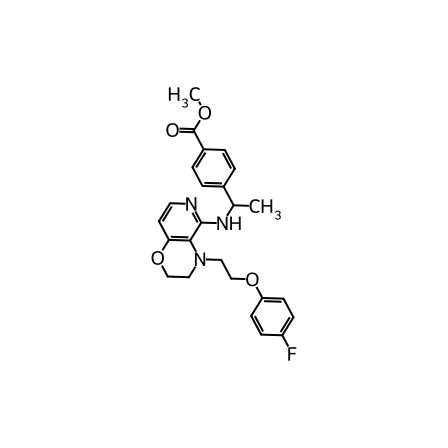 COC(=O)c1ccc(C(C)Nc2nccc3c2N(CCOc2ccc(F)cc2)CCO3)cc1